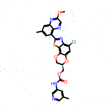 COc1cnc2c(-c3nc4c(Cl)cc5c(c4s3)OC[C@H](COC(=O)Nc3cncc(C)c3)O5)cc(C)cc2n1